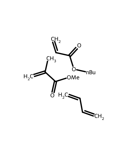 C=C(C)C(=O)OC.C=CC(=O)OCCCC.C=CC=C